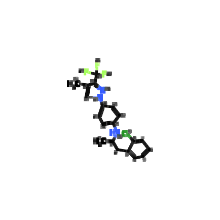 C=C(Cc1ccccc1Cl)Nc1ccc(-n2cc(C)c(C(F)(F)F)n2)cc1